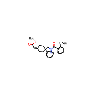 COc1ccccc1C(=O)NCC1(c2ccccc2)CCC(=CC(=O)OC(C)(C)C)CC1